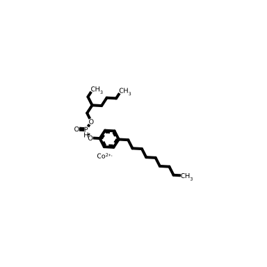 CCCCCCCCCc1ccc(O[PH](=O)OCC(CC)CCCC)cc1.[Co+2]